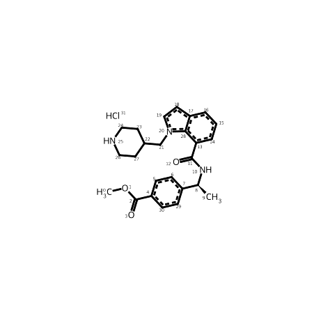 COC(=O)c1ccc([C@H](C)NC(=O)c2cccc3ccn(CC4CCNCC4)c23)cc1.Cl